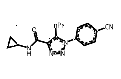 CCCc1c(C(=O)NC2CC2)nnn1-c1ccc(C#N)cc1